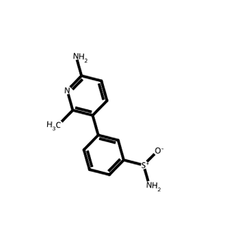 Cc1nc(N)ccc1-c1cccc([S+](N)[O-])c1